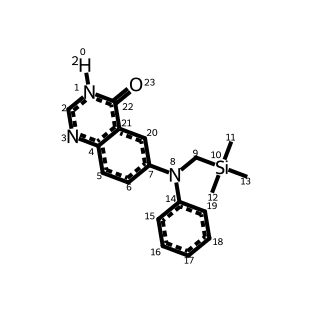 [2H]n1cnc2ccc(N(C[Si](C)(C)C)c3ccccc3)cc2c1=O